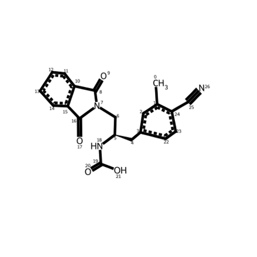 Cc1cc(C[C@H](CN2C(=O)c3ccccc3C2=O)NC(=O)O)ccc1C#N